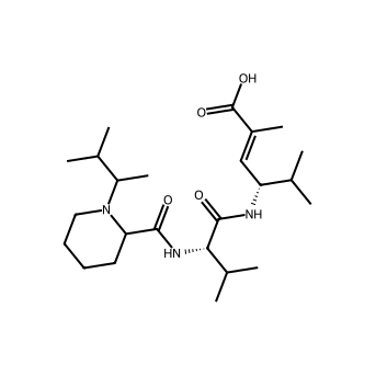 C/C(=C\[C@@H](NC(=O)[C@@H](NC(=O)C1CCCCN1C(C)C(C)C)C(C)C)C(C)C)C(=O)O